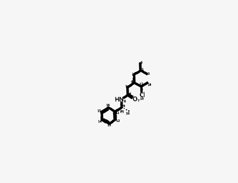 CC(C)CC(CC(=O)N[C@H](C)c1ccccc1)C(C)Cl